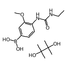 CC(C)(O)C(C)(C)O.CCNC(=O)Nc1ccc(B(O)O)cc1OC